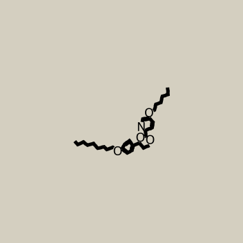 CCCCCCCCCOc1ccc(C(CC)OC(=O)c2ccc(OCCCCCC)cn2)cc1